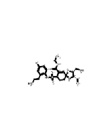 CCCc1cc(F)ccc1NS(=O)(=O)C1CCC2(C=C1C(=O)OCC)O[C@@H](CO)[C@H](CO)O2